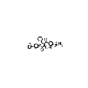 COc1ccc(C(=O)C2=C(O)C(=O)N(c3ccc(-c4ccco4)cc3)C2C2CCCCC2)cc1